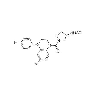 CC(=O)NC1CCN(C(=O)N2CCN(c3ccc(F)cc3)c3cc(F)ccc32)C1